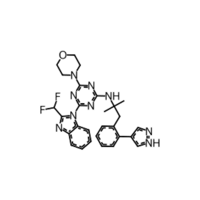 CC(C)(Cc1ccccc1-c1cn[nH]c1)Nc1nc(N2CCOCC2)nc(-n2c(C(F)F)nc3ccccc32)n1